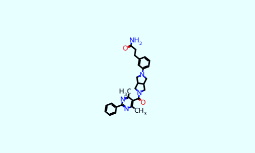 Cc1nc(-c2ccccc2)nc(C)c1C(=O)N1CC2CN(c3cccc(CCC(N)=O)c3)CC2C1